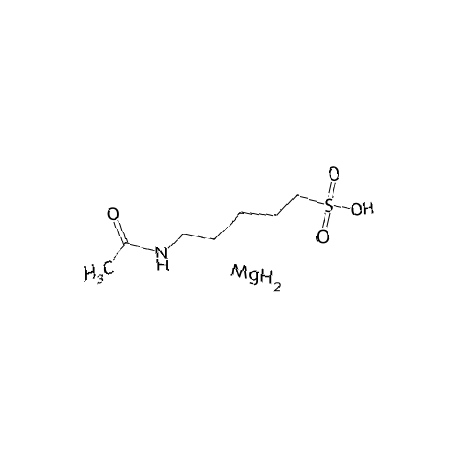 CC(=O)NCCCCCS(=O)(=O)O.[MgH2]